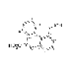 O=C(O)C(Oc1cccc(CO)c1)c1ccccc1